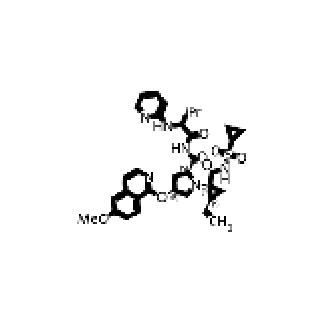 C=C[C@@H]1C[C@@]1(C(=O)NS(=O)(=O)C1CC1)N1C[C@H](Oc2nccc3cc(OC)ccc23)C[C@H]1C(=O)NC(=O)C(Nc1ccccn1)C(C)C